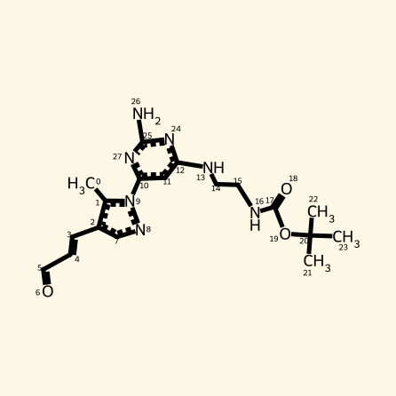 Cc1c(/C=C/C=O)cnn1-c1cc(NCCNC(=O)OC(C)(C)C)nc(N)n1